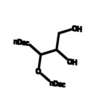 CCCCCCCCCCOC(CCCCCCCCCC)C(O)CO